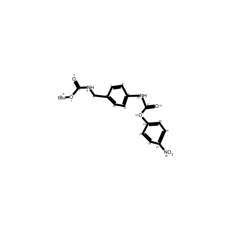 CC(C)(C)OC(=O)NCc1ccc(NC(=O)Oc2ccc([N+](=O)[O-])cc2)cc1